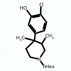 CCCCCCN1CCC(C)(c2ccc(Cl)c(O)c2)C(C)C1